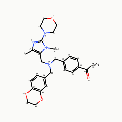 CCCCn1c(N2CCOCC2)nc(C)c1CN(Cc1ccc(C(=O)OC)cc1)Cc1ccc2c(c1)OCCO2